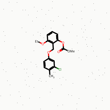 CCOc1cccc(OC(=O)OC)c1COc1ccc(C)c(Cl)c1